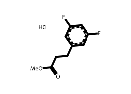 COC(=O)CCc1cc(F)cc(F)c1.Cl